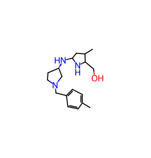 Cc1ccc(CN2CC[C@@H](NC3CC(C)C(CO)N3)C2)cc1